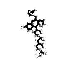 Cc1nccn1CC1=Cc2cc(Cl)ccc2C(C2CCN(C(=O)CC3CCN(C(N)=O)CC3)CC2)c2ncccc21